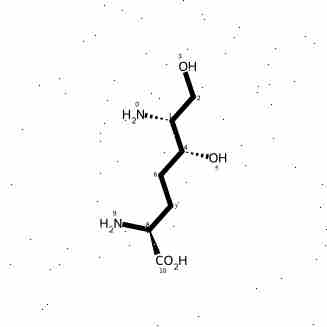 N[C@H](CO)[C@H](O)CC[C@H](N)C(=O)O